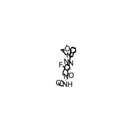 COc1cccc2cc(-c3nc4cc5c(c(F)c4n3C)CCN(C[C@H]3COCCN3)C5=O)n(CC3CC3)c12